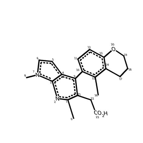 Cc1nc2c(ccn2C)c(-c2ccc3c(c2C)CCCO3)c1CC(=O)O